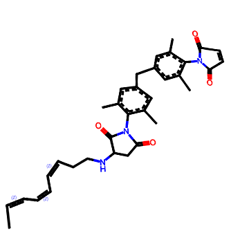 C\C=C/C=C\C=C/CCNC1CC(=O)N(c2c(C)cc(Cc3cc(C)c(N4C(=O)C=CC4=O)c(C)c3)cc2C)C1=O